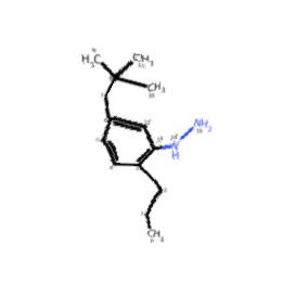 CCCc1ccc(CC(C)(C)C)cc1NN